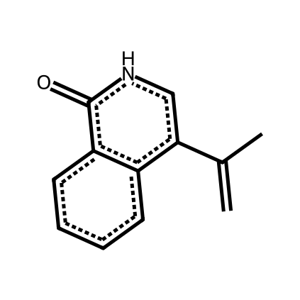 C=C(C)c1c[nH]c(=O)c2ccccc12